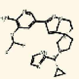 Nc1ncc(-c2cc3n(n2)CC[C@@]32CCN([C@@H](c3ncc[nH]3)C3CC3)C2)cc1OC(F)F